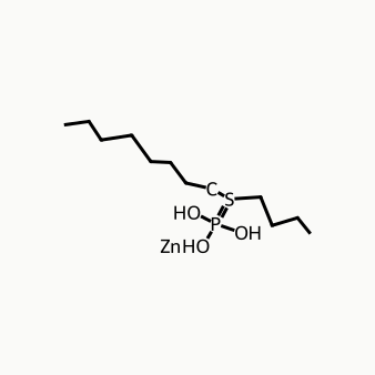 CCCCCCCCS(CCCC)=P(O)(O)O.[Zn]